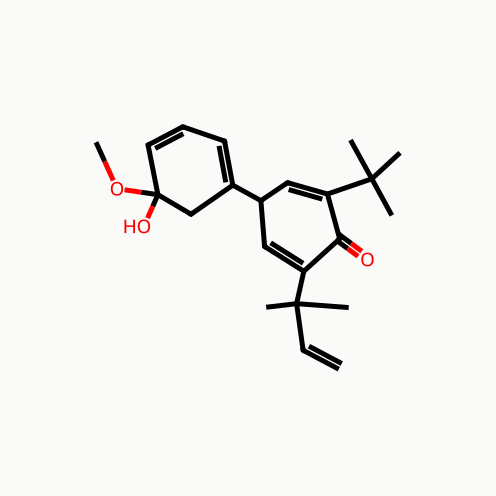 C=CC(C)(C)C1=CC(C2=CC=CC(O)(OC)C2)C=C(C(C)(C)C)C1=O